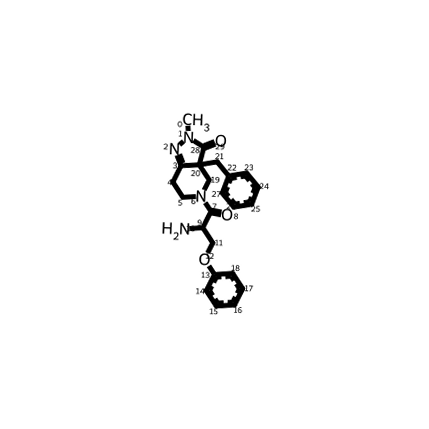 CN1N=C2CCN(C(=O)C(N)COc3ccccc3)CC2(Cc2ccccc2)C1=O